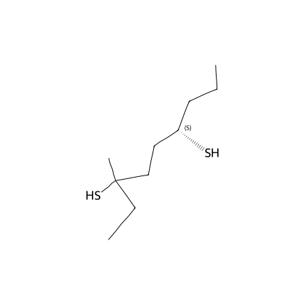 CCC[C@H](S)CCC(C)(S)CC